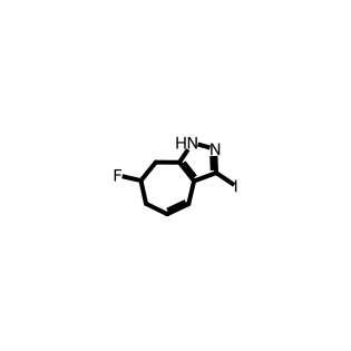 FC1CC=Cc2c(I)n[nH]c2C1